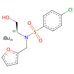 CC[C@H](C)[C@@H](CO)N(Cc1ccco1)S(=O)(=O)c1ccc(Cl)cc1